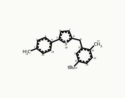 Cc1ccc(-c2ccc(Cc3cc(C(C)(C)C)ccc3C)s2)cc1